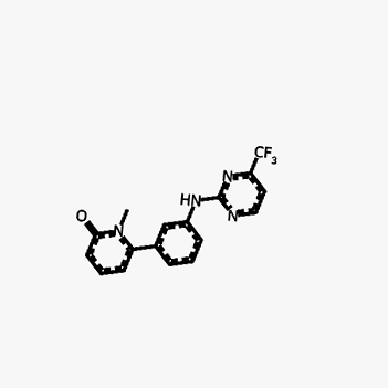 Cn1c(-c2cccc(Nc3nccc(C(F)(F)F)n3)c2)cccc1=O